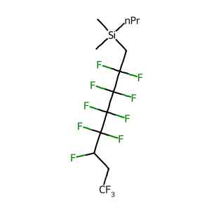 CCC[Si](C)(C)CC(F)(F)C(F)(F)C(F)(F)C(F)(F)C(F)CC(F)(F)F